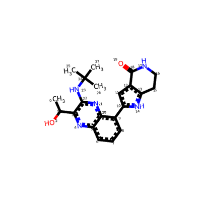 CC(O)c1nc2cccc(-c3cc4c([nH]3)CCNC4=O)c2nc1NC(C)(C)C